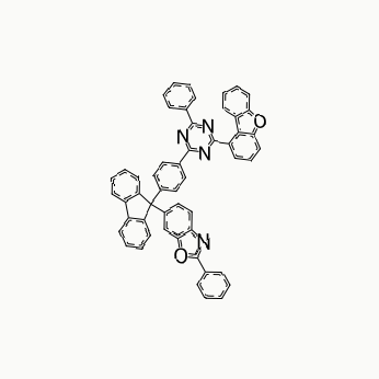 c1ccc(-c2nc(-c3ccc(C4(c5ccc6nc(-c7ccccc7)oc6c5)c5ccccc5-c5ccccc54)cc3)nc(-c3cccc4oc5ccccc5c34)n2)cc1